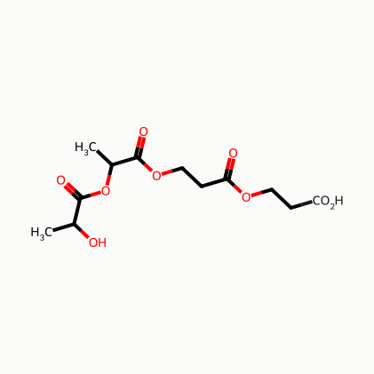 CC(O)C(=O)OC(C)C(=O)OCCC(=O)OCCC(=O)O